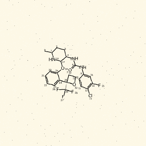 CC1CCC(NC(=O)Nc2ccc(Cl)c(F)c2)C(Oc2ccccc2[C@@]2(C(F)(F)F)CCO2)N1